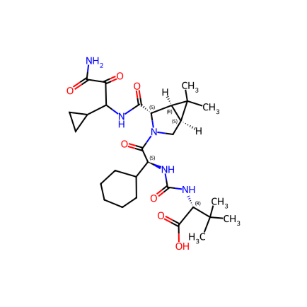 CC(C)(C)[C@@H](NC(=O)N[C@H](C(=O)N1C[C@H]2[C@@H]([C@H]1C(=O)NC(C(=O)C(N)=O)C1CC1)C2(C)C)C1CCCCC1)C(=O)O